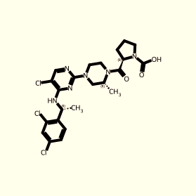 C[C@@H]1CN(c2ncc(Cl)c(N[C@H](C)c3ccc(Cl)cc3Cl)n2)CCN1C(=O)[C@H]1CCCN1C(=O)O